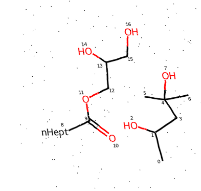 CC(O)CC(C)(C)O.CCCCCCCC(=O)OCC(O)CO